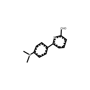 CN(C)c1ccc(-c2cccc(C=O)n2)cc1